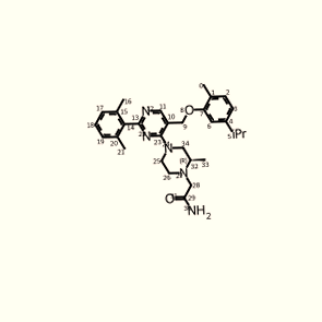 Cc1ccc(C(C)C)cc1OCc1cnc(-c2c(C)cccc2C)nc1N1CCN(CC(N)=O)[C@H](C)C1